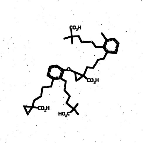 Cc1cccc(CCCCC2(C(=O)O)CC2Oc2cccc(CCCCC3(C(=O)O)CC3)c2CCCCC(C)(C)C(=O)O)c1CCCCC(C)(C)C(=O)O